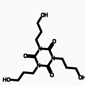 O=c1n(CCCO)c(=O)n(CCCO)c(=O)n1CCCO